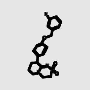 O=S1(=O)CCN2CCCC(c3ccc(OCc4cccc(F)c4)cc3)C2=N1